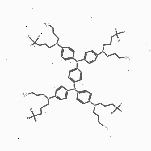 CCCCN(CCCC(F)(F)F)c1ccc(N(c2ccc(N(CCCC)CCCC(F)(F)F)cc2)c2ccc(N(c3ccc(N(CCCC)CCCC(F)(F)F)cc3)c3ccc(N(CCCC)CCCC(F)(F)F)cc3)cc2)cc1